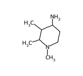 CC1C(N)CCN(C)C1C